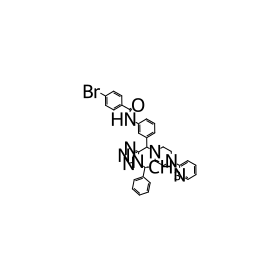 C[C@@H](c1ccccc1)n1nnnc1C(c1cccc(NC(=O)c2ccc(Br)cc2)c1)N1CCN(c2ccccn2)CC1